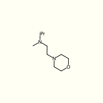 CC(C)N(C)CCN1CCOCC1